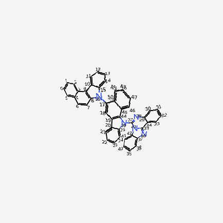 c1ccc2c(c1)ccc1c2c2ccccc2n1-c1cc2c3ccccc3n(-c3nc4ccccc4c4nc5ccccc5n34)c2c2ccccc12